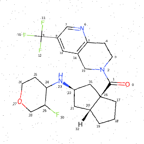 O=C(N1CCc2ncc(C(F)(F)F)cc2C1)[C@@]12CCC[C@@H]1C[C@@H](NC1CCOCC1F)C2